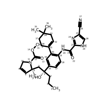 CCC[C@@](O)(C[C@@]1(C)C=CCN1C(=O)OC)c1ccc(NC(=O)c2nc(C#N)c[nH]2)c(C2=CCC(C)(C)CC2)c1